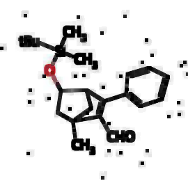 CC12CC(O[Si](C)(C)C(C)(C)C)C(C1)C(c1ccccc1)=C2C=O